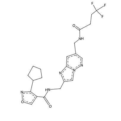 O=C(CCC(F)(F)F)NCc1cnn2cc(CNC(=O)c3conc3C3CCCC3)nc2c1